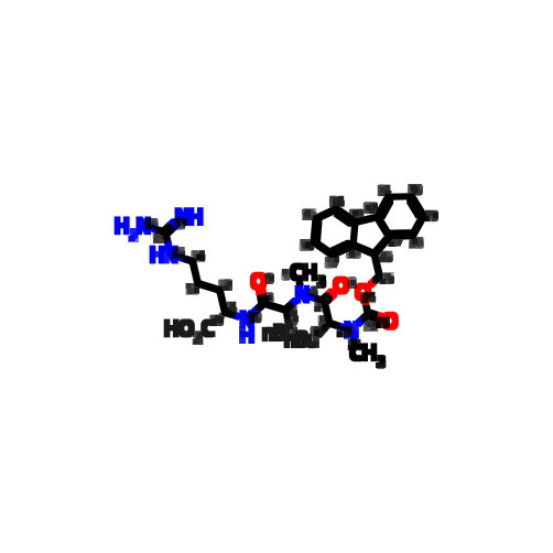 CCCC[C@@H](C(=O)N(C)[C@@H](CCCC)C(=O)N[C@@H](CCCNC(=N)N)C(=O)O)N(C)C(=O)OCC1c2ccccc2-c2ccccc21